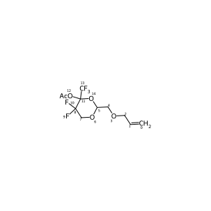 C=CCOCC1OCC(F)(F)C(OC(C)=O)(C(F)(F)F)O1